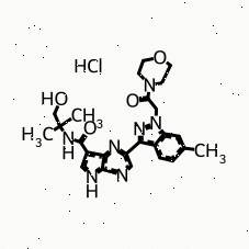 Cc1ccc2c(-c3cnc4[nH]cc(C(=O)NC(C)(C)CO)c4n3)nn(CC(=O)N3CCOCC3)c2c1.Cl